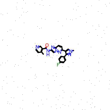 Cc1ccncc1C(=O)Nc1cn2nc(-c3cn(C)nc3-c3ccc(F)cc3)ccc2n1